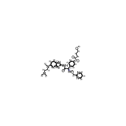 COCCCS(=O)(=O)c1ccc(/C(=N\OCc2ncccn2)C(=O)Nc2nc3ccc(N(C)CCN(C)C)nc3s2)cc1